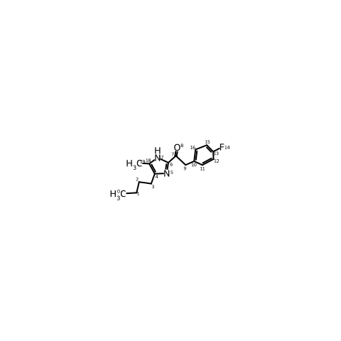 CCCCc1nc(C(=O)Cc2ccc(F)cc2)[nH]c1C